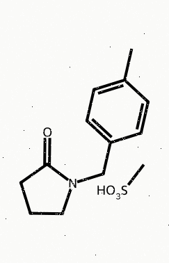 CS(=O)(=O)O.Cc1ccc(CN2CCCC2=O)cc1